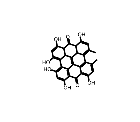 CC1=C2c3c(C)cc(O)c4c3C3=C5C2C(C(=O)C2C(O)=CC(O)=C(c6c(O)cc(O)c(c63)C4=O)C52)C(O)=C1